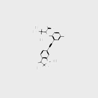 CC(C)(C)C(Oc1ccc(Cl)cc1C#Cc1ccc2c(c1)S(O)(O)C(C)(C)C2O)C(=O)O